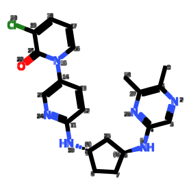 Cc1ncc(N[C@H]2CC[C@H](Nc3ccc(-n4cccc(Cl)c4=O)cn3)C2)nc1C